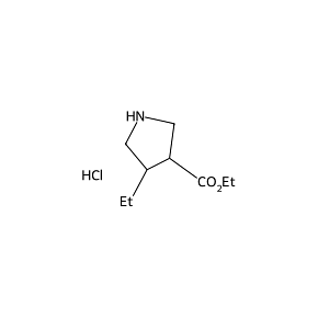 CCOC(=O)C1CNCC1CC.Cl